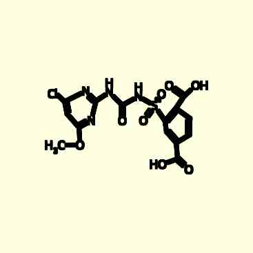 COc1cc(Cl)nc(NC(=O)NS(=O)(=O)c2cc(C(=O)O)ccc2C(=O)O)n1